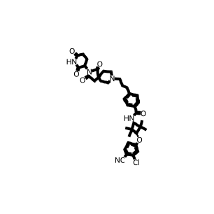 CC1(C)[C@H](NC(=O)c2ccc(CCCN3CCC4(CC3)CC(=O)N(C3CCC(=O)NC3=O)C4=O)cc2)C(C)(C)[C@H]1Oc1ccc(C#N)c(Cl)c1